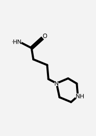 [NH]C(=O)CCCN1CCNCC1